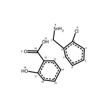 Clc1ccccc1[CH2][SnH3].O=C(O)c1ccccc1O